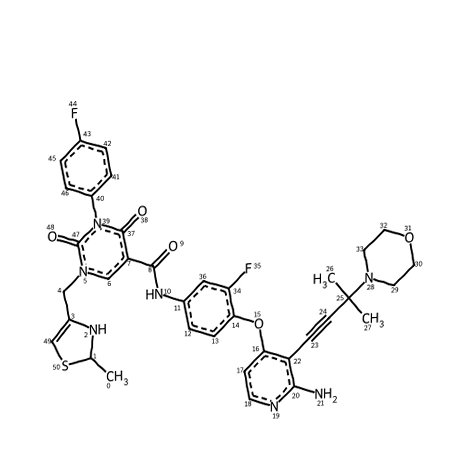 CC1NC(Cn2cc(C(=O)Nc3ccc(Oc4ccnc(N)c4C#CC(C)(C)N4CCOCC4)c(F)c3)c(=O)n(-c3ccc(F)cc3)c2=O)=CS1